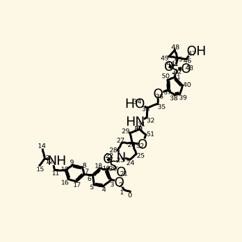 CCOc1ccc(-c2ccc(CNC(C)C)cc2)cc1S(=O)(=O)N1CCC2(CC1)C[C@@H](NCC(O)COc1cccc(S(=O)(=O)C3(CO)CC3)c1)CO2